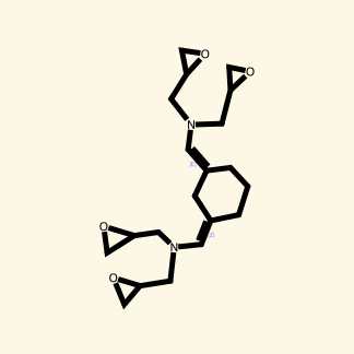 C(=C1\CCC/C(=C\N(CC2CO2)CC2CO2)C1)/N(CC1CO1)CC1CO1